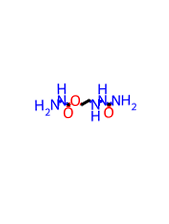 NNC(=O)OCCNNC(N)=O